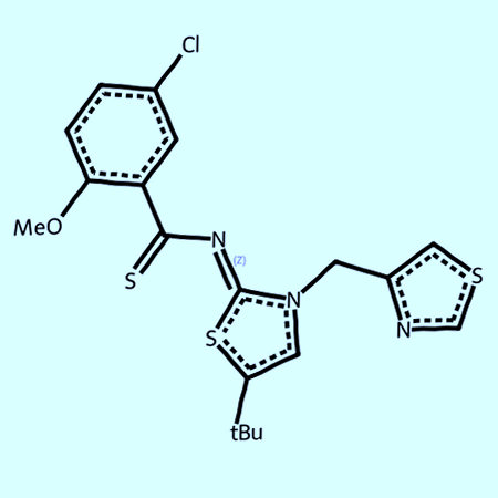 COc1ccc(Cl)cc1C(=S)/N=c1\sc(C(C)(C)C)cn1Cc1cscn1